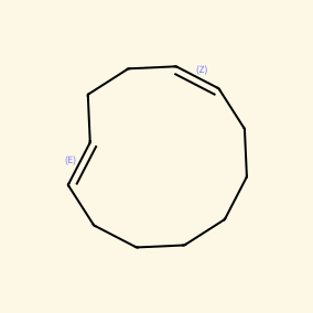 C1=C\CCCCCC/C=C/CC/1